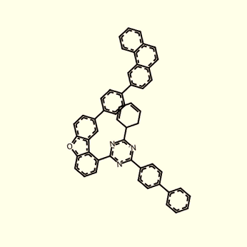 C1=CCC(c2nc(-c3ccc(-c4ccccc4)cc3)nc(-c3cccc4oc5ccc(-c6ccc(-c7ccc8ccc9ccccc9c8c7)cc6)cc5c34)n2)C=C1